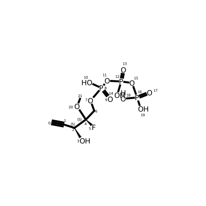 C#C[C@H](O)[C@@](F)(COP(=O)(O)OP(=O)(O)OP(=O)(O)O)OC